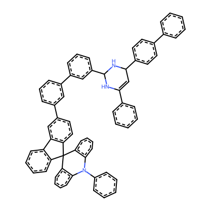 C1=C(c2ccccc2)NC(c2cccc(-c3cccc(-c4ccc5c(c4)-c4ccccc4C54c5ccccc5N(c5ccccc5)c5ccccc54)c3)c2)NC1c1ccc(-c2ccccc2)cc1